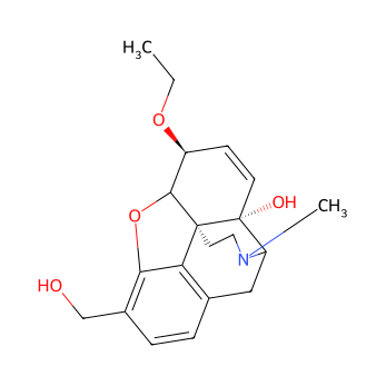 CCO[C@H]1C=C[C@@]2(O)C3Cc4ccc(CO)c5c4[C@@]2(CCN3C)C1O5